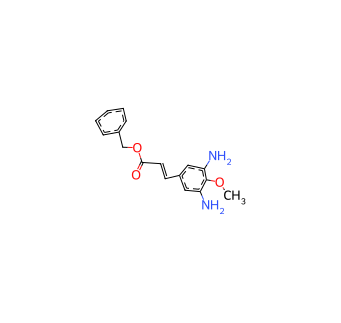 COc1c(N)cc(C=CC(=O)OCc2ccccc2)cc1N